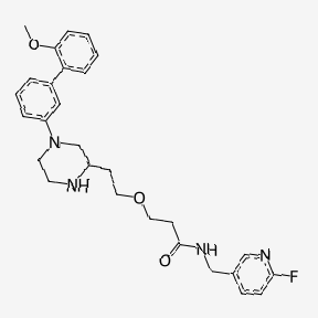 COc1ccccc1-c1cccc(N2CCNC(CCOCCC(=O)NCc3ccc(F)nc3)C2)c1